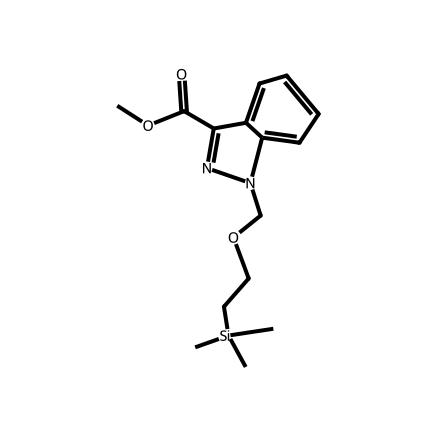 COC(=O)c1nn(COCC[Si](C)(C)C)c2ccccc12